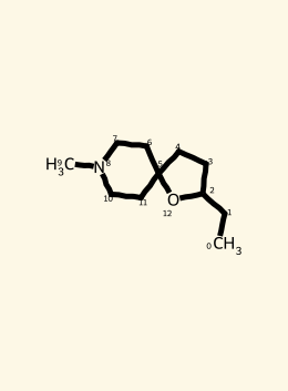 CCC1CCC2(CCN(C)CC2)O1